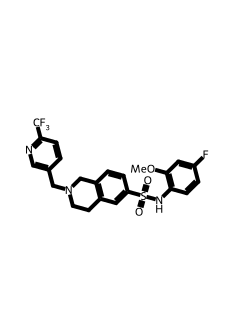 COc1cc(F)ccc1NS(=O)(=O)c1ccc2c(c1)CCN(Cc1ccc(C(F)(F)F)nc1)C2